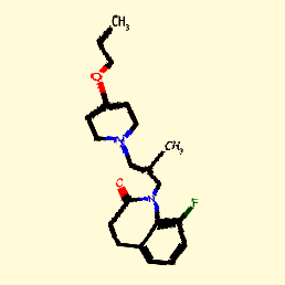 CCCOC1CCN(CC(C)CN2C(=O)CCc3cccc(F)c32)CC1